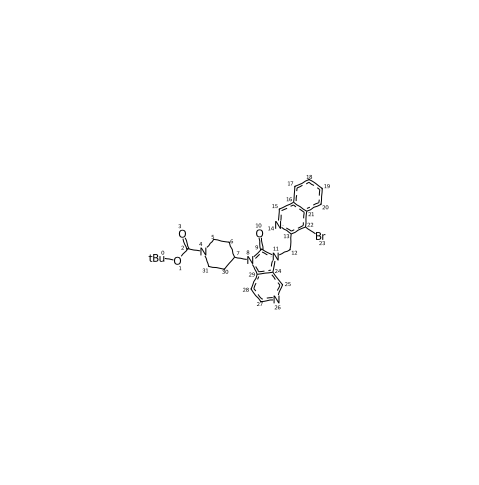 CC(C)(C)OC(=O)N1CCC(n2c(=O)n(Cc3ncc4ccccc4c3Br)c3cnccc32)CC1